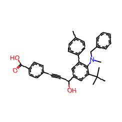 Cc1ccc(-c2cc(C(O)C#Cc3ccc(C(=O)O)cc3)cc(C(C)(C)C)c2N(C)Cc2ccccc2)cc1